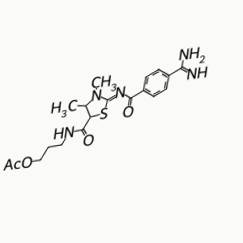 CC(=O)OCCCNC(=O)C1SC(=NC(=O)c2ccc(C(=N)N)cc2)N(C)C1C